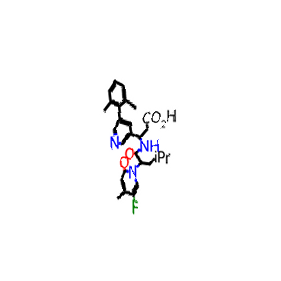 Cc1cc(=O)n(C(CC(C)C)C(=O)NC(CC(=O)O)c2cncc(-c3c(C)cccc3C)c2)cc1F